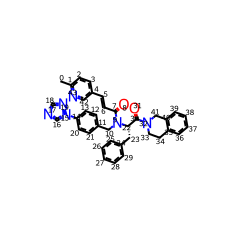 Cc1ccc(C=CC(=O)N(Cc2ccc(-n3cncn3)cc2)[C@@H](Cc2ccccc2)C(=O)N2CCc3ccccc3C2)cn1